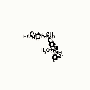 COc1cc(CC(=O)N(C)CCN2CCN(CC(=O)O)CC2)ccc1NC(=O)Nc1ccccc1Br